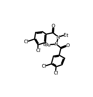 CCN(C(=O)c1ccc(Cl)c(Cl)c1)N(C(=O)c1ccc(Cl)c(Cl)c1)C(C)(C)C